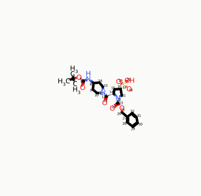 CC(C)(C)OC(=O)NC1CCN(C(=O)[C@@H]2C[C@H](S(=O)(=O)O)CN2C(=O)OCc2ccccc2)CC1